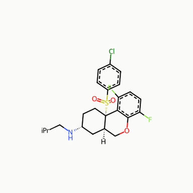 CC(C)CN[C@@H]1CC[C@@]2(S(=O)(=O)c3ccc(Cl)cc3)c3c(F)ccc(F)c3OC[C@H]2C1